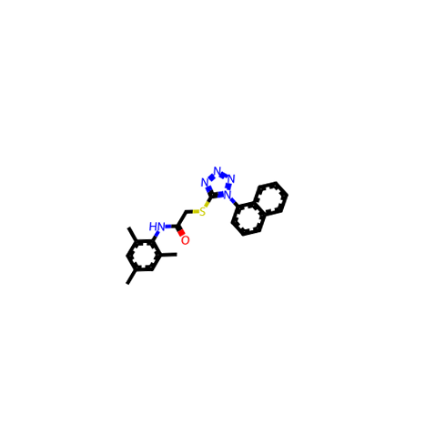 Cc1cc(C)c(NC(=O)CSc2nnnn2-c2cccc3ccccc23)c(C)c1